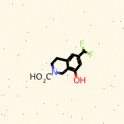 O=C(O)N1CCc2cc(C(F)F)cc(O)c2C1